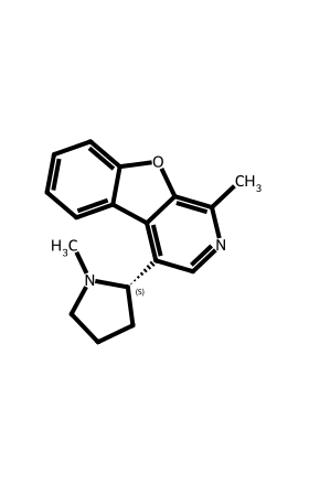 Cc1ncc([C@@H]2CCCN2C)c2c1oc1ccccc12